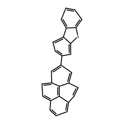 c1cc2ccc3cc(-c4ccc5c(c4)sc4ccccc45)cc4ccc(c1)c2c34